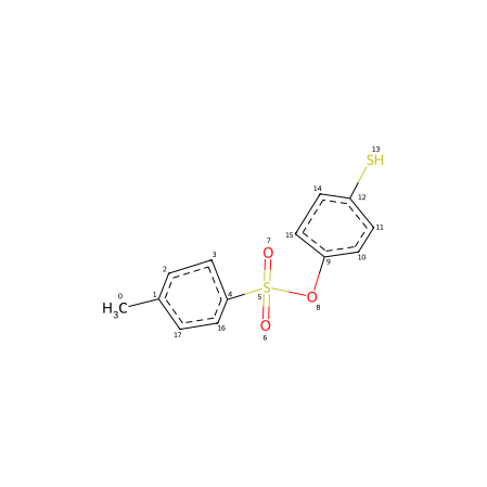 Cc1ccc(S(=O)(=O)Oc2ccc(S)cc2)cc1